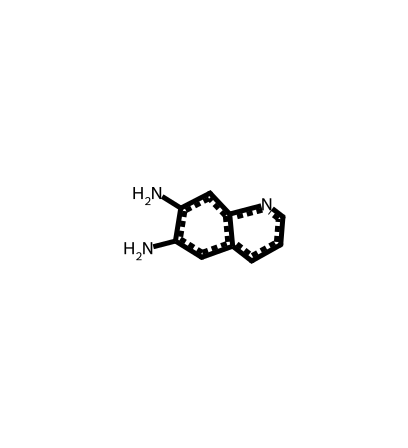 Nc1cc2cccnc2cc1N